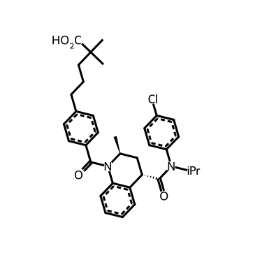 CC(C)N(C(=O)[C@H]1C[C@H](C)N(C(=O)c2ccc(CCCC(C)(C)C(=O)O)cc2)c2ccccc21)c1ccc(Cl)cc1